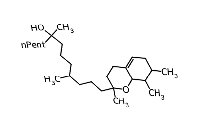 CCCCCC(C)(O)CCCC(C)CCCC1(C)CCC2=CCC(C)C(C)C2O1